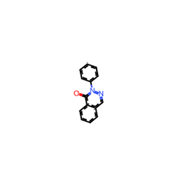 O=c1c2ccccc2cnn1-c1cc[c]cc1